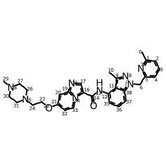 Cc1cccc(Cn2nc(C)c3c(NC(=O)c4cnc5cc(OCCN6CCN(C)CC6)ccn45)cccc32)n1